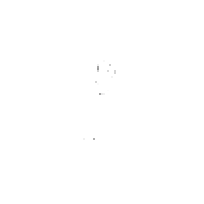 O=C(Nc1ccccc1)N1CCCC(CNc2nc(-c3c[nH]c4ncc(Cl)cc34)ncc2F)C1